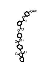 CC(=O)Oc1ccc(OC(=O)c2cccc(C(=O)Oc3ccc(NC(=O)c4ccc(N5C(=O)C6C7CCC(C7)C6C5=O)cc4)cc3)c2)cc1